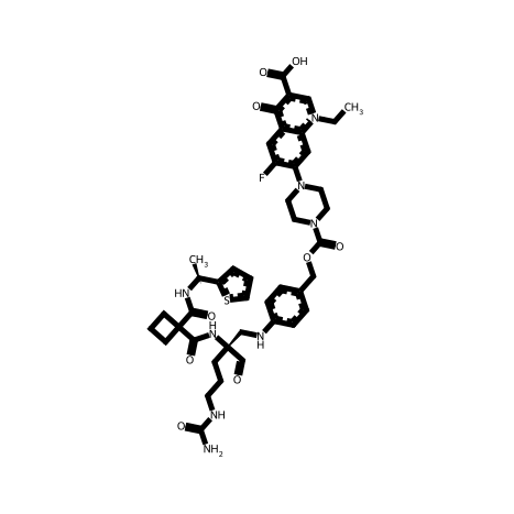 CCn1cc(C(=O)O)c(=O)c2cc(F)c(N3CCN(C(=O)OCc4ccc(NC[C@@](C=O)(CCCNC(N)=O)NC(=O)C5(C(=O)N[C@@H](C)c6cccs6)CCC5)cc4)CC3)cc21